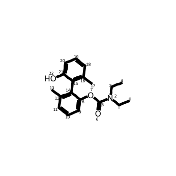 CCN(CC)C(=O)Oc1cccc(C)c1-c1c(C)cccc1O